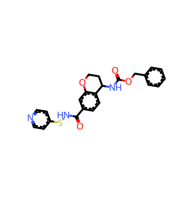 O=C(NC1CCOc2cc(C(=O)NSc3ccncc3)ccc21)OCc1ccccc1